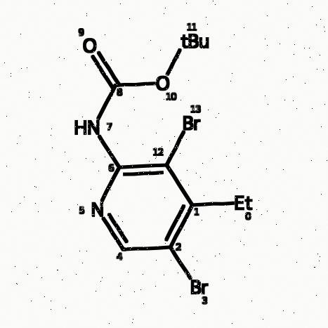 CCc1c(Br)cnc(NC(=O)OC(C)(C)C)c1Br